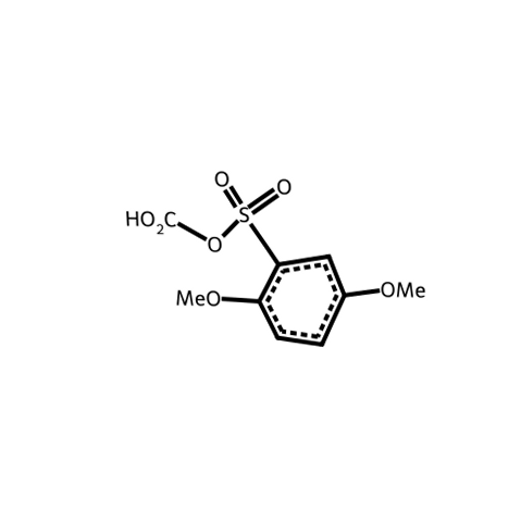 COc1ccc(OC)c(S(=O)(=O)OC(=O)O)c1